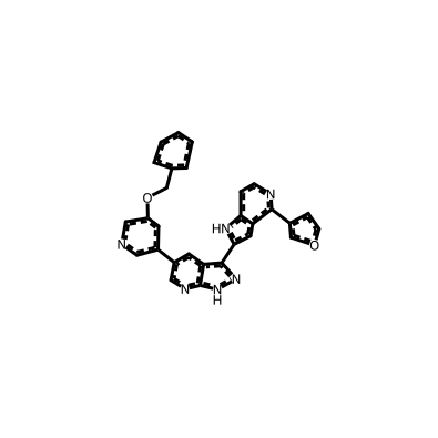 c1ccc(COc2cncc(-c3cnc4[nH]nc(-c5cc6c(-c7ccoc7)nccc6[nH]5)c4c3)c2)cc1